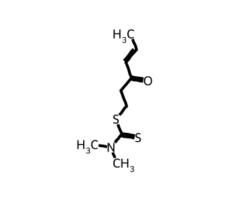 CC=CC(=O)CCSC(=S)N(C)C